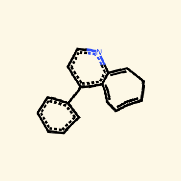 C1=CCC=c2nccc(-c3ccccc3)c2=C1